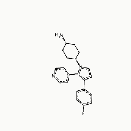 N[C@H]1CC[C@@H](n2ccc(-c3ccc(F)cc3)c2-c2ccncc2)CC1